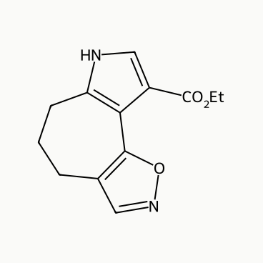 CCOC(=O)c1c[nH]c2c1-c1oncc1CCC2